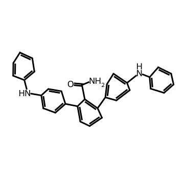 NC(=O)c1c(-c2ccc(Nc3ccccc3)cc2)cccc1-c1ccc(Nc2ccccc2)cc1